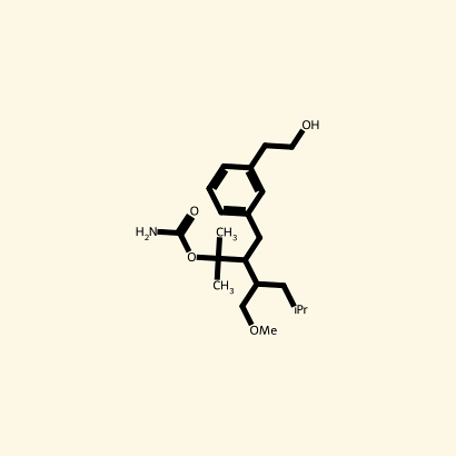 COCC(CC(C)C)C(Cc1cccc(CCO)c1)C(C)(C)OC(N)=O